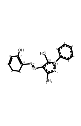 Bc1nn(-c2ccccc2)c(O)c1N=NC1=C(O)C=CCC1